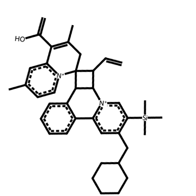 C=CC1C2C(c3ccccc3-c3cc(CC4CCCCC4)c([Si](C)(C)C)c[n+]32)C12CC(C)=C(C(=C)O)c1cc(C)cc[n+]12